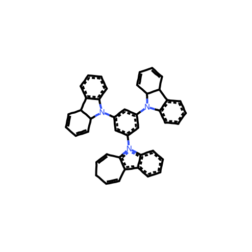 C1=CC2c3ccccc3N(c3cc(N4c5ccccc5C5C=CC=CC54)cc(-n4c5c(c6ccccc64)C=CCC=C5)c3)C2C=C1